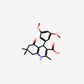 COc1cc(OC)cc(C2C(C(=O)O)=C(C)NC3=C2C(=O)CC(C)(C)C3)c1